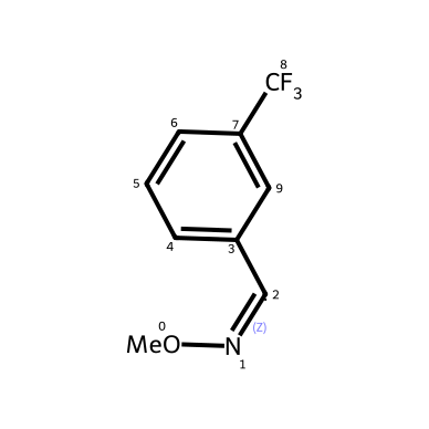 CO/N=[C]\c1cccc(C(F)(F)F)c1